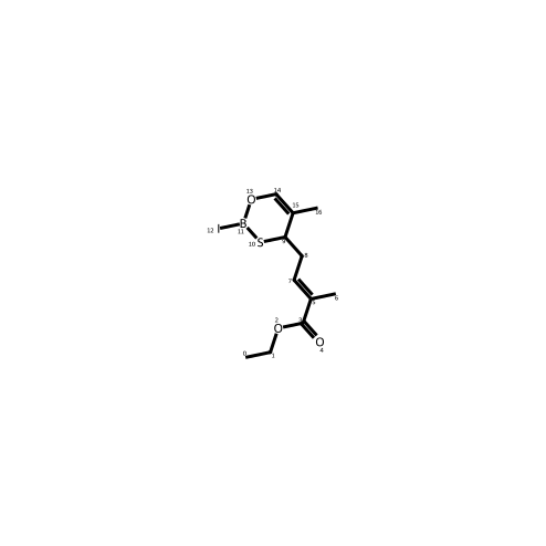 CCOC(=O)/C(C)=C/CC1SB(I)OC=C1C